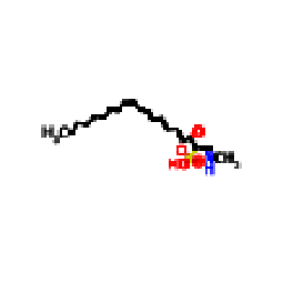 CCCCCCCC/C=C\CCCCCCCC(=O)C(CNC)S(=O)(=O)O